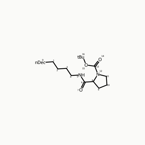 CCCCCCCCCCCCCCNC(=O)C1CCCN1C(=O)OC(C)(C)C